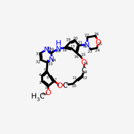 COc1ccc2cc1OCC/C=C/COCc1cc(ccc1N1CCOCC1)Nc1nccc-2n1